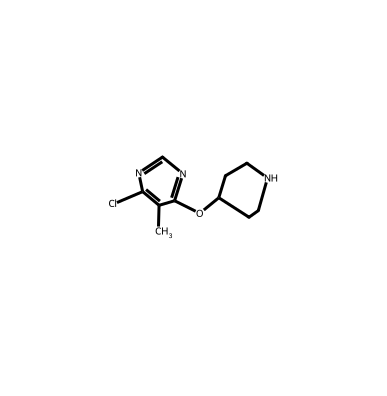 Cc1c(Cl)ncnc1OC1CCNCC1